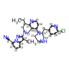 CCC1CN(c2nn3c(C#N)cccc3c2C)Cc2c(N3CCNCC3Cc3ccc(Cl)nc3)ccnc21